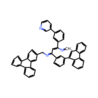 C=N/C(=C\C(=N/Cc1ccc2c3ccccc3c3ccccc3c2c1)c1cccc(-c2cc3ccccc3c3ccccc23)c1)c1cccc(-c2cccnc2)c1